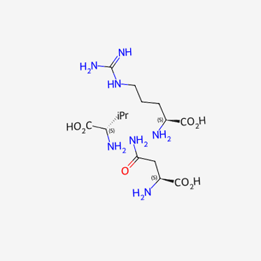 CC(C)[C@H](N)C(=O)O.N=C(N)NCCC[C@H](N)C(=O)O.NC(=O)C[C@H](N)C(=O)O